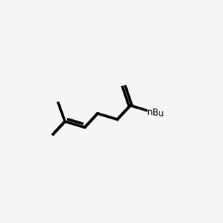 C=C(CCC=C(C)C)CCCC